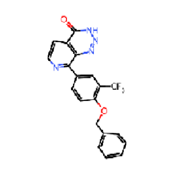 O=c1[nH]nnc2c(-c3ccc(OCc4ccccc4)c(C(F)(F)F)c3)nccc12